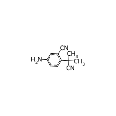 CC(C)(C#N)c1ccc(N)cc1C#N